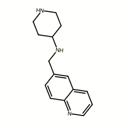 c1cnc2ccc(CNC3CCNCC3)cc2c1